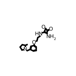 CC1CCCN1Cc1cccc(OCCCNc2c(N)c(=O)c2=O)c1